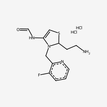 Cl.Cl.NCCC1SC=C(NC=O)N1Cc1ncccc1F